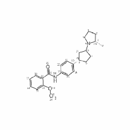 C[C@H]1CCCN1C1CC[C@H](c2ccc(NC(=O)c3ccccc3OC(F)(F)F)cc2)C1